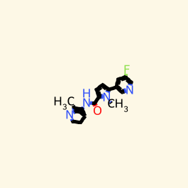 CC1C(NC(=O)c2ccc(-c3cncc(F)c3)n2C)C2CCN1CC2